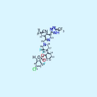 CC1(c2ccc(Cl)cc2F)Oc2cccc(C3CCN(Cc4ncc(-c5nnc(C(F)(F)F)[nH]5)cc4CC4(C#N)CC4)CC3(F)F)c2O1